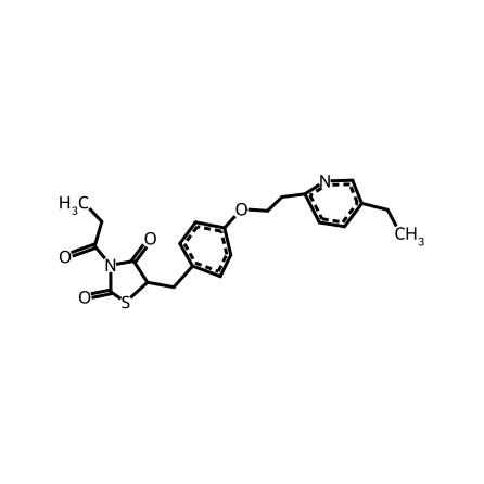 CCC(=O)N1C(=O)SC(Cc2ccc(OCCc3ccc(CC)cn3)cc2)C1=O